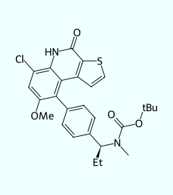 CC[C@@H](c1ccc(-c2c(OC)cc(Cl)c3[nH]c(=O)c4sccc4c23)cc1)N(C)C(=O)OC(C)(C)C